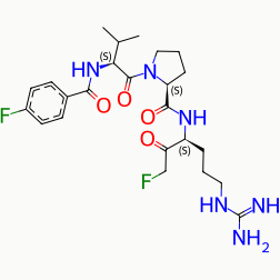 CC(C)[C@H](NC(=O)c1ccc(F)cc1)C(=O)N1CCC[C@H]1C(=O)N[C@@H](CCCNC(=N)N)C(=O)CF